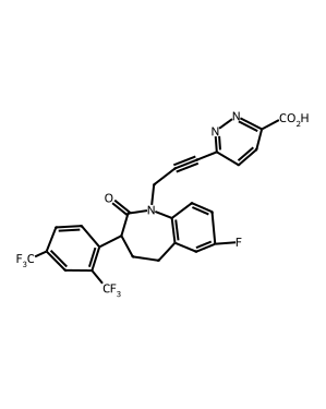 O=C(O)c1ccc(C#CCN2C(=O)C(c3ccc(C(F)(F)F)cc3C(F)(F)F)CCc3cc(F)ccc32)nn1